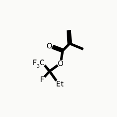 C=C(C)C(=O)OC(F)(CC)C(F)(F)F